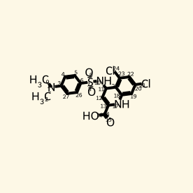 CN(C)c1ccc(S(=O)(=O)NC2C=C(C(=O)O)Nc3cc(Cl)cc(Cl)c32)cc1